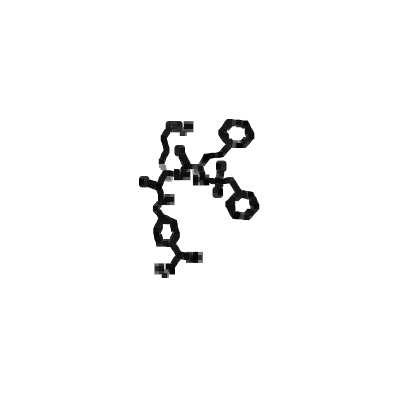 N=C(N)c1ccc(CNC(=O)[C@H](CCCC(=O)O)NC(=O)[C@@H](CCc2ccccc2)NS(=O)(=O)Cc2ccccc2)cc1